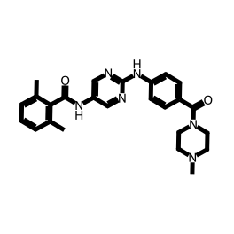 Cc1cccc(C)c1C(=O)Nc1cnc(Nc2ccc(C(=O)N3CCN(C)CC3)cc2)nc1